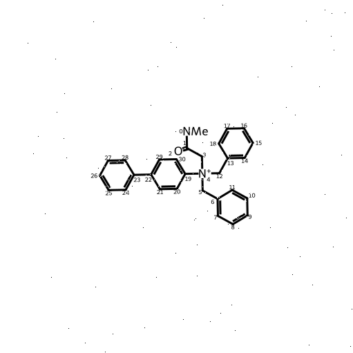 CNC(=O)C[N+](Cc1ccccc1)(Cc1ccccc1)c1ccc(-c2ccccc2)cc1